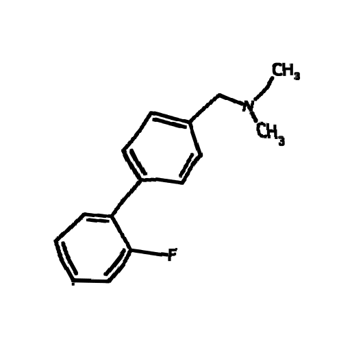 CN(C)Cc1ccc(-c2cc[c]cc2F)cc1